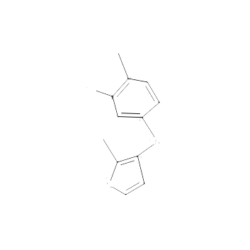 Cc1ccc(Nc2cc[nH]c2C)cc1F